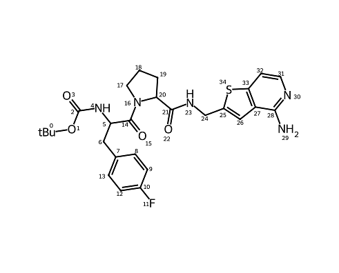 CC(C)(C)OC(=O)NC(Cc1ccc(F)cc1)C(=O)N1CCCC1C(=O)NCc1cc2c(N)nccc2s1